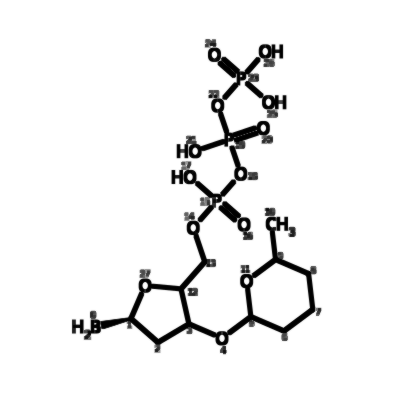 B[C@@H]1CC(OC2CCCC(C)O2)C(COP(=O)(O)OP(=O)(O)OP(=O)(O)O)O1